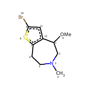 COC1CN(C)CCc2sc(Br)cc21